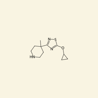 CC1(c2nsc(OC3CC3)n2)CCNCC1